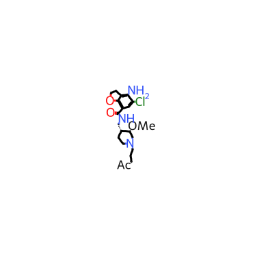 CO[C@H]1CN(CCCC(C)=O)CC[C@@H]1CNC(=O)c1cc(Cl)c(N)c2c1OCC2